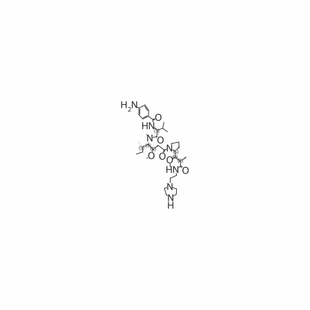 CC[C@H](C)[C@@H]([C@@H](CC(=O)N1CCC[C@H]1[C@H](OC)[C@@H](C)C(=O)NCCN1CCNCC1)OC)N(C)C(=O)[C@@H](NC(=O)c1ccc(N)cc1)C(C)C